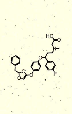 CN(CCC(Oc1ccc(OC2=COC(Cc3ccccc3)O2)cc1)c1ccc(F)cc1)CC(=O)O